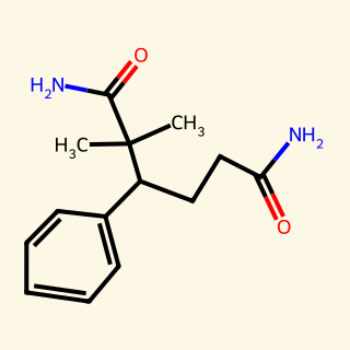 CC(C)(C(N)=O)C(CCC(N)=O)c1ccccc1